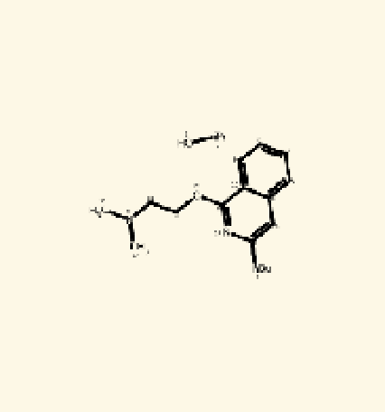 CC(C)O.CCCCc1cc2ccccc2c(OCCN(C)C)n1